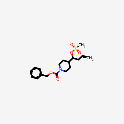 C=CCC(OS(C)(=O)=O)C1CCN(C(=O)OCc2ccccc2)CC1